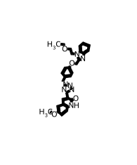 CCOCCn1c(COc2ccc(Cn3nnc(-c4cc5cc(OC)ccc5[nH]c4=O)n3)cc2)nc2ccccc21